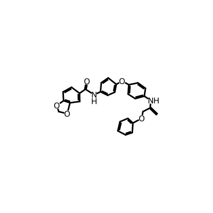 C=C(COc1ccccc1)Nc1ccc(Oc2ccc(NC(=O)c3ccc4c(c3)OCO4)cc2)cc1